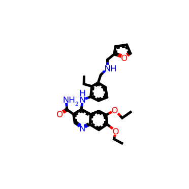 CCOc1cc2ncc(C(N)=O)c(Nc3cccc(CNCc4ccco4)c3CC)c2cc1OCC